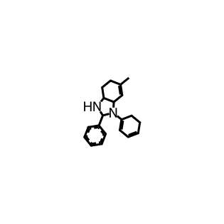 CC1=CC2C(CC1)NC(c1ccccc1)N2C1=CC=CCC1